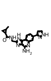 CC1CC1C(=O)NCc1nc2c(N)nc3cc(-c4cc[nH]n4)ccc3c2[nH]1